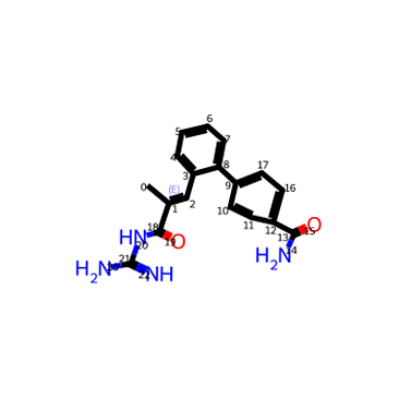 C/C(=C\c1ccccc1-c1ccc(C(N)=O)cc1)C(=O)NC(=N)N